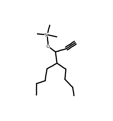 C#CC(O[Si](C)(C)C)C(CCCC)CCCC